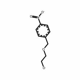 [O]CCOCc1ccc([N+](=O)[O-])cc1